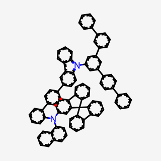 c1ccc(-c2ccc(-c3cc(-c4cccc(-c5ccccc5)c4)cc(-n4c5ccccc5c5cc(-c6ccc(-c7ccccc7N(c7ccc8c(c7)C7(c9ccccc9-c9ccccc97)c7ccccc7-8)c7cccc8ccccc78)cc6)ccc54)c3)cc2)cc1